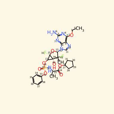 CCOc1nc(N)nc2c1ncn2[C@@H]1O[C@]2(F)C(OP(=O)(NC(C)C(=O)OC3CCCC3)Oc3ccccc3)[C@]2(O)[C@@]1(C)F